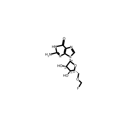 Nc1nc2c(ncn2[C@@H]2O[C@H](COCF)[C@@H](O)[C@H]2O)c(=O)[nH]1